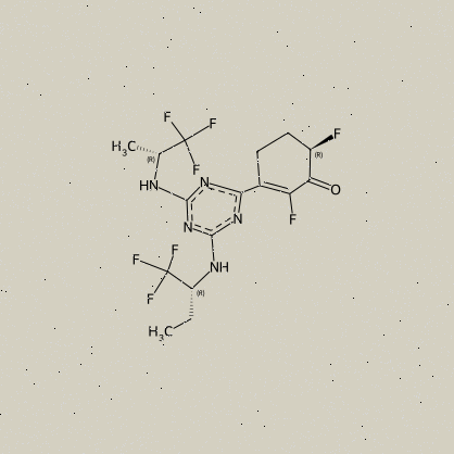 CC[C@@H](Nc1nc(N[C@H](C)C(F)(F)F)nc(C2=C(F)C(=O)[C@H](F)CC2)n1)C(F)(F)F